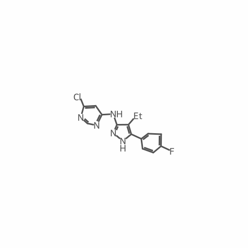 CCc1c(Nc2cc(Cl)ncn2)n[nH]c1-c1ccc(F)cc1